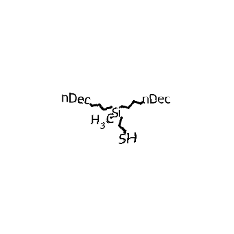 CCCCCCCCCCCCCC[Si](C)(CCCS)CCCCCCCCCCCCCC